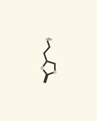 C=C1OCC(CCCCCC)O1